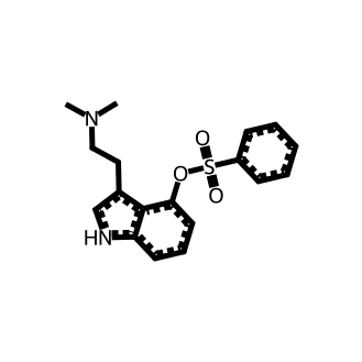 CN(C)CCc1c[nH]c2cccc(OS(=O)(=O)c3ccccc3)c12